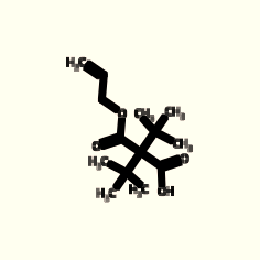 C=CCOC(=O)C(C(=O)O)(C(C)(C)C)C(C)(C)C